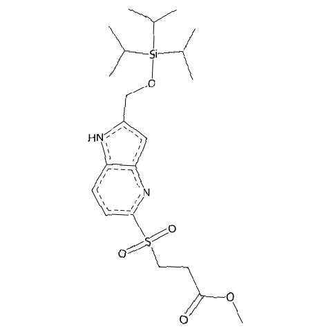 COC(=O)CCS(=O)(=O)c1ccc2[nH]c(CO[Si](C(C)C)(C(C)C)C(C)C)cc2n1